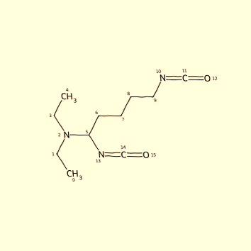 CCN(CC)C(CCCCN=C=O)N=C=O